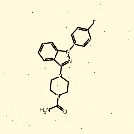 NC(=O)N1CCN(c2nn(-c3ccc(F)cc3)c3ccccc23)CC1